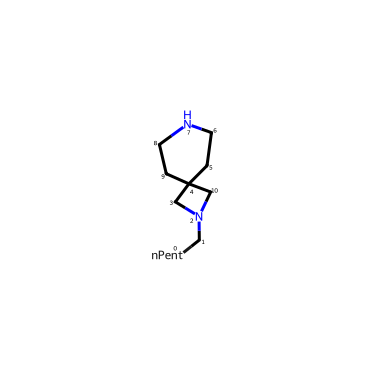 CCCCCCN1CC2(CCNCC2)C1